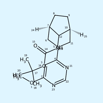 COc1cc(N2C[C@H]3CC[C@@H](C2)C3NC(=O)OC(C)(C)C)ncn1